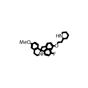 COc1ccc2c(c1)CCNC2(Cc1ccc(OCCC2CCCCN2)cc1)c1ccc(F)cc1